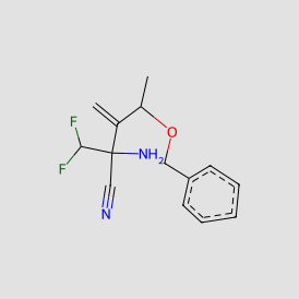 C=C(C(C)OCc1ccccc1)C(N)(C#N)C(F)F